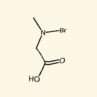 CN(Br)CC(=O)O